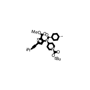 COC(=O)c1sc(C#CC(C)C)cc1N(C(=O)[C@H]1CC[C@H](C)CC1)C1CCN(C(=O)OC(C)(C)C)CC1